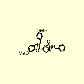 COc1ccc(CN(Cc2ccc(OC)cc2)C(=O)[C@@H]2CC[C@@H]3CN2C(=O)N3OCc2ccccc2)cc1